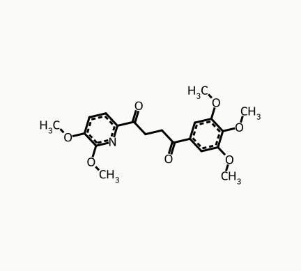 COc1ccc(C(=O)CCC(=O)c2cc(OC)c(OC)c(OC)c2)nc1OC